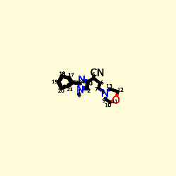 Cn1cc(C(C#N)CCN2CCOCC2)nc1-c1ccccc1